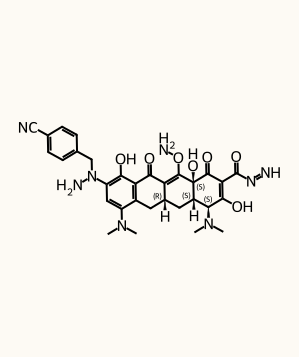 CN(C)c1cc(N(N)Cc2ccc(C#N)cc2)c(O)c2c1C[C@H]1C[C@H]3[C@H](N(C)C)C(O)=C(C(=O)N=N)C(=O)[C@@]3(O)C(ON)=C1C2=O